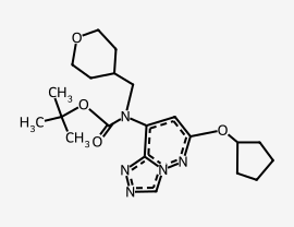 CC(C)(C)OC(=O)N(CC1CCOCC1)c1cc(OC2CCCC2)nn2cnnc12